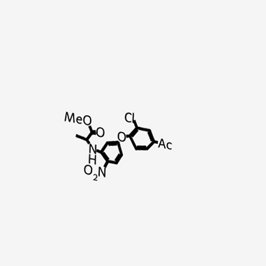 COC(=O)C(C)Nc1cc(Oc2ccc(C(C)=O)cc2Cl)ccc1[N+](=O)[O-]